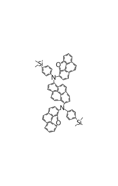 C[Si](C)(C)c1ccc(N(c2ccc3ccc4c(N(c5ccc([Si](C)(C)C)cc5)c5ccc6ccc7cccc8oc5c6c78)ccc5ccc2c3c54)c2ccc3ccc4cccc5oc2c3c45)cc1